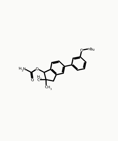 CCCCOc1cccc(-c2ccc3c(c2)CC(C)(C)C3OC(N)=O)c1